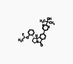 CC(F)Oc1ccccc1[C@H]1CCN2C(=O)c3ccc(-c4cnc(C(C)(C)O)nc4)cc3[C@@H]12